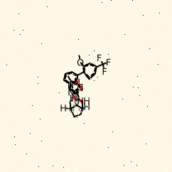 COc1cc(C(F)(F)F)ccc1-c1cccn2nc(N[C@@H]3[C@@H]4CC[C@H]3CN(c3cc(C)ns3)C4)nc12